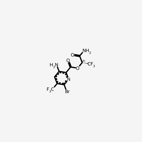 NC(=O)[C@@H](OC(=O)c1nc(Br)c(C(F)(F)F)cc1N)C(F)(F)F